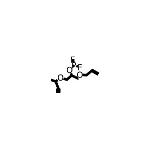 C#CC(C)OCC(COCC=C)OP(F)F